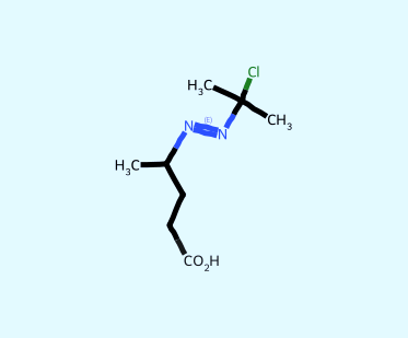 CC(CCC(=O)O)/N=N/C(C)(C)Cl